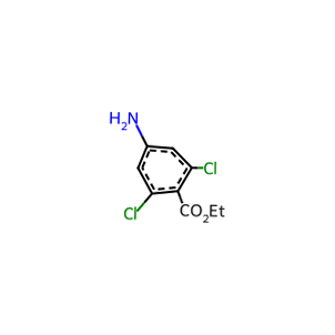 CCOC(=O)c1c(Cl)cc(N)cc1Cl